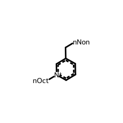 CCCCCCCCCCc1ccc[n+](CCCCCCCC)c1